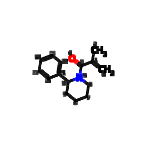 C=C(C)C(=O)N1CCCCC1c1ccccc1